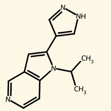 CC(C)n1c(-c2cn[nH]c2)cc2cnccc21